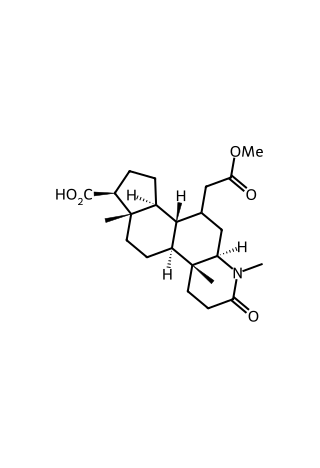 COC(=O)CC1C[C@H]2N(C)C(=O)CC[C@]2(C)[C@H]2CC[C@]3(C)[C@@H](C(=O)O)CC[C@H]3[C@H]12